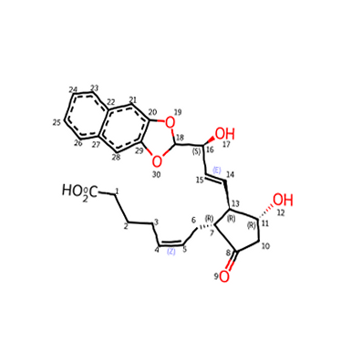 O=C(O)CCC/C=C\C[C@H]1C(=O)C[C@@H](O)[C@@H]1/C=C/[C@H](O)C1Oc2cc3ccccc3cc2O1